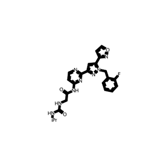 CC(C)NC(=O)NCC(=O)Nc1ccnc(-c2cc(-c3ccon3)n(Cc3ccccc3F)n2)n1